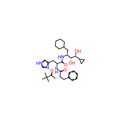 CC(C)(C)C(=O)C[C@@H](Cc1ccccc1)C(=O)NC(Cc1c[nH]cn1)C(=O)N[C@@H](CC1CCCCC1)[C@@H](O)[C@@H](O)C1CC1